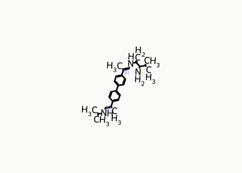 C=C(N/C=C(\C)c1ccc(-c2ccc(/C(C)=C/NC(C)C)cc2)cc1)C(N)C(C)C